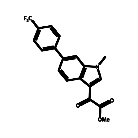 COC(=O)C(=O)c1cn(C)c2cc(-c3ccc(C(F)(F)F)cc3)ccc12